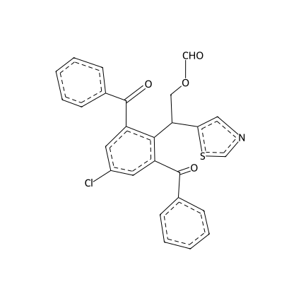 O=COCC(c1cncs1)c1c(C(=O)c2ccccc2)cc(Cl)cc1C(=O)c1ccccc1